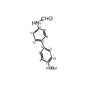 CC(C)(C)c1ccc(-c2ccc(NC=O)cc2)cc1